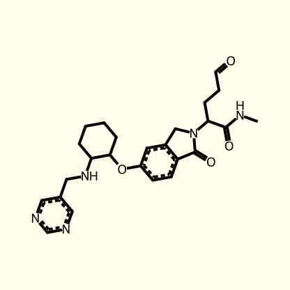 CNC(=O)C(CCC=O)N1Cc2cc(OC3CCCCC3NCc3cncnc3)ccc2C1=O